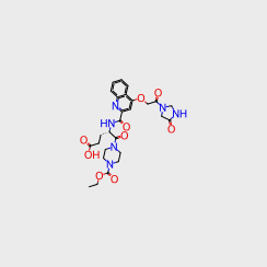 CCOC(=O)N1CCN(C(=O)[C@H](CCC(=O)O)NC(=O)c2cc(OCC(=O)N3CNC(=O)C3)c3ccccc3n2)CC1